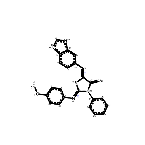 COc1ccc(/N=C2\S/C(=C\c3ccc4[nH]cnc4c3)C(=O)N2c2ccccc2)cc1